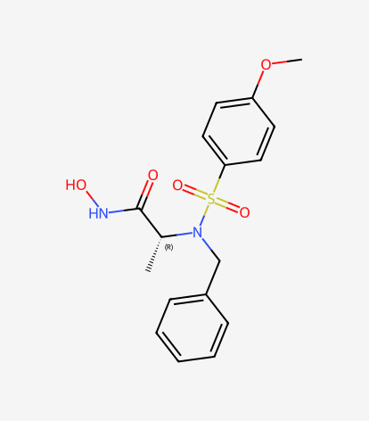 COc1ccc(S(=O)(=O)N(Cc2ccccc2)[C@H](C)C(=O)NO)cc1